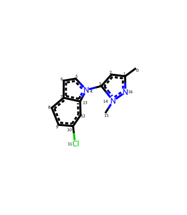 Cc1[c]c(-n2ccc3ccc(Cl)cc32)n(C)n1